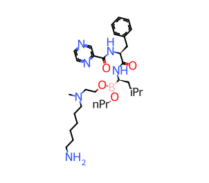 CCCOB(OCCN(C)CCCCCCN)[C@H](CC(C)C)NC(=O)[C@H](Cc1ccccc1)NC(=O)c1cnccn1